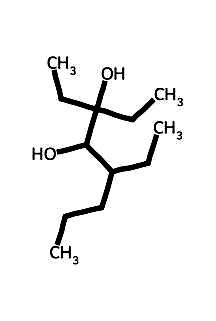 CCCC(CC)C(O)C(O)(CC)CC